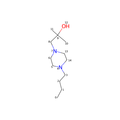 CCCCN1CCN(CC(C)(C)O)CC1